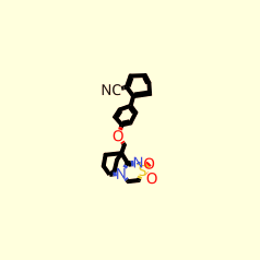 N#Cc1ccccc1-c1ccc(OCC23CCC(CC2)N2CCS(=O)(=O)N=C23)cc1